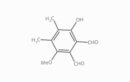 COc1c(C)c(C)c(O)c(C=O)c1C=O